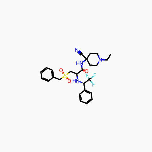 CCN1CCC(C#N)(NC(=O)C(CS(=O)(=O)Cc2ccccc2)N[C@H](c2ccccc2)C(F)(F)F)CC1